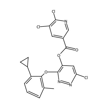 Cc1cccc(C2CC2)c1Oc1nnc(Cl)cc1OC(=O)c1cnc(Cl)c(Cl)c1